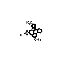 C=CS(=O)(=O)C1=Cc2cc(OC)ccc2-c2c(C3CCCCC3)c3ccc(C(=O)O)cc3n2C1